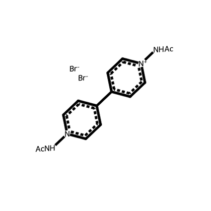 CC(=O)N[n+]1ccc(-c2cc[n+](NC(C)=O)cc2)cc1.[Br-].[Br-]